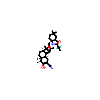 CC(=O)/C=C1/[C@@]2(C)CC(C#N)=C(O)[C@@H](C)[C@@H]2CC[C@@]1(C)C(C)(C)CC[C@@]1(NC(=O)C(C)(F)F)CCC(C)(C)CC1C